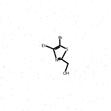 CCc1nc(CO)sc1Br